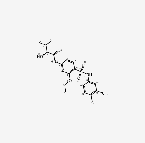 CCOc1cc(NC(=O)[C@@H](O)C(C)C)ccc1S(=O)(=O)Nc1ccc(C)c(Cl)c1